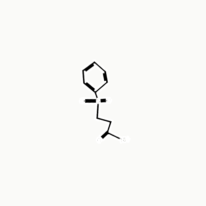 [NH]C(=O)CCS(=O)(=O)c1ccccc1